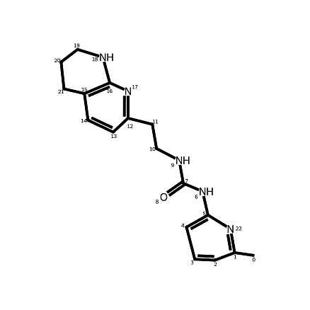 Cc1cccc(NC(=O)NCCc2ccc3c(n2)NCCC3)n1